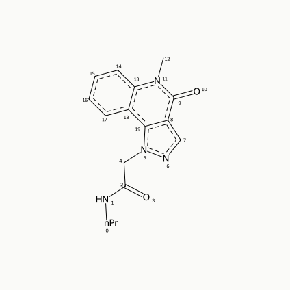 CCCNC(=O)Cn1ncc2c(=O)n(C)c3ccccc3c21